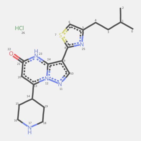 CC(C)CCc1csc(-c2cnn3c(C4CCNCC4)cc(=O)[nH]c23)n1.Cl